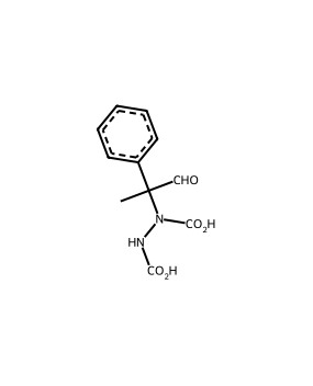 CC(C=O)(c1ccccc1)N(NC(=O)O)C(=O)O